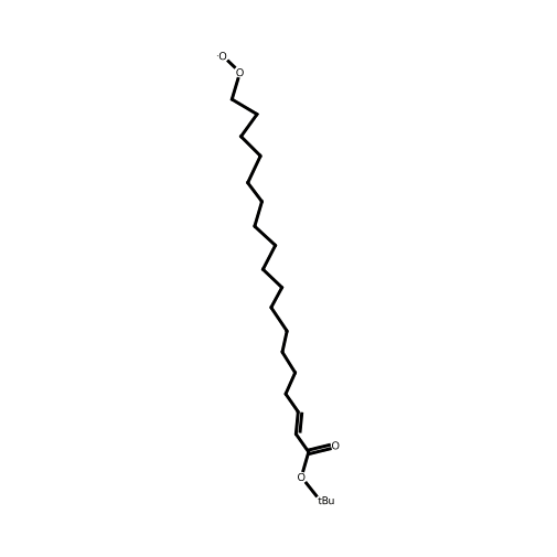 CC(C)(C)OC(=O)C=CCCCCCCCCCCCCCCCO[O]